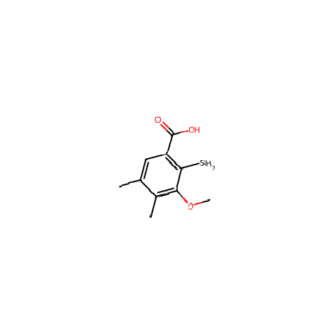 COc1c(C)c(C)cc(C(=O)O)c1[SiH3]